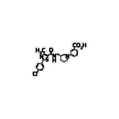 Cc1nc(-c2ccc(Cl)cc2)sc1C(=O)NC[C@@H]1CCCN(c2cccc(C(=O)O)c2)C1